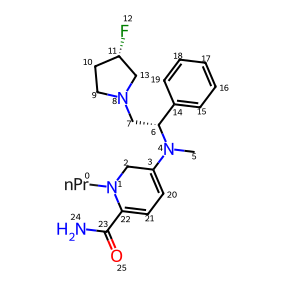 CCCN1CC(N(C)[C@H](CN2CC[C@H](F)C2)c2ccccc2)=CC=C1C(N)=O